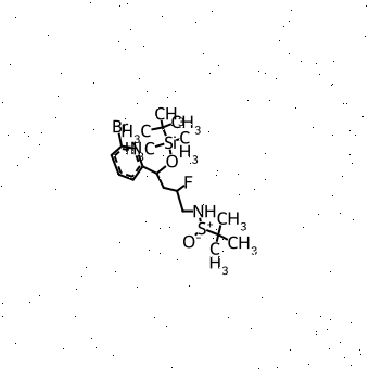 CC(C)(C)[S+]([O-])NCC(F)CC(O[Si](C)(C)C(C)(C)C)c1cccc(Br)n1